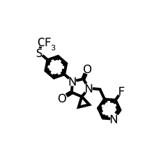 O=C1N(c2ccc(SC(F)(F)F)cc2)C(=O)C2(CC2)N1Cc1ccncc1F